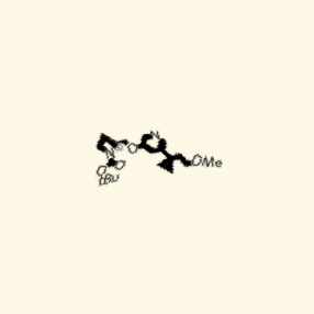 COCCC1(c2cncc(OC[C@@H]3CCN3C(=O)OC(C)(C)C)c2)CC1